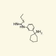 CCSC(=N)Nc1cccc(C2(N)CCCCC2)c1